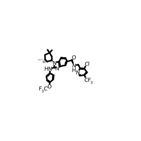 C[C@H]1C[C@@H](n2c(Nc3ccc(OC(F)(F)F)cc3)nc3cc(C(=O)NCc4ncc(C(F)(F)F)cc4Cl)ccc32)CC(C)(C)C1